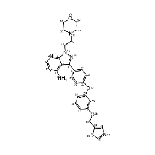 Nc1ncnc2c1c(-c1ccc(Oc3cccc(OCc4cncs4)c3)cc1)nn2CCN1CCOCC1